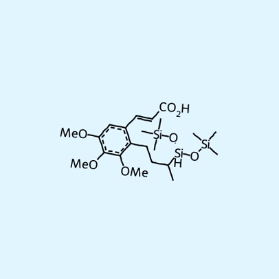 COc1cc(C=CC(=O)O)c(CCC(C)[SiH](O[Si](C)(C)C)O[Si](C)(C)C)c(OC)c1OC